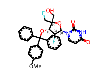 COc1ccc(C(O[C@H]2[C@H](F)[C@H](n3ccc(=O)[nH]c3=O)O[C@@]2(CO)CF)(c2ccccc2)c2ccccc2)cc1